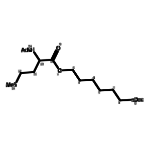 CCCCCCCCCCCCCCCCOC(=O)C(CCSC)NC(C)=O